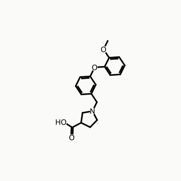 COc1ccccc1Oc1cccc(CN2CCC(C(=O)O)C2)c1